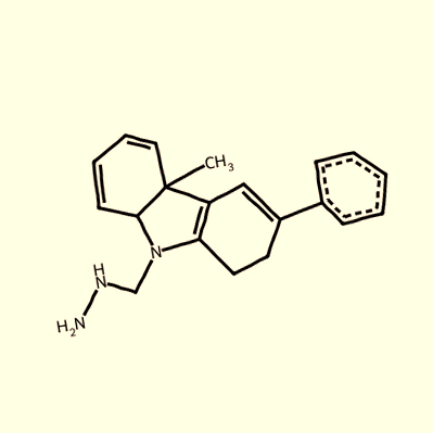 CC12C=CC=CC1N(CNN)C1=C2C=C(c2ccccc2)CC1